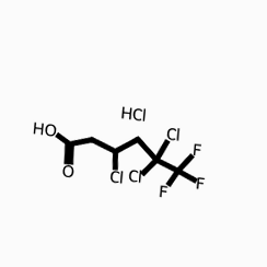 Cl.O=C(O)CC(Cl)CC(Cl)(Cl)C(F)(F)F